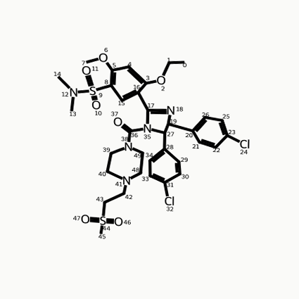 CCOc1cc(OC)c(S(=O)(=O)N(C)C)cc1C1=NC(c2ccc(Cl)cc2)C(c2ccc(Cl)cc2)N1C(=O)N1CCN(CCS(C)(=O)=O)CC1